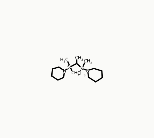 CC([Si](C)(C)N1CCCCC1)[Si](C)(C)N1CCCCC1